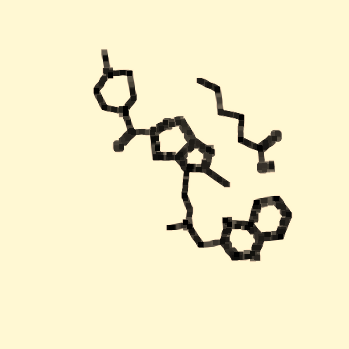 CCCCCC(=O)O.Cc1sc2ccc(C(=O)N3CCN(C)CC3)cc2c1CCN(C)Cc1cnc2ccccc2n1